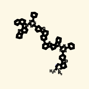 C=C/C=C\c1c(C)ccc2oc3cc(-c4nc(-c5ccccc5)nc(-n5c6ccccc6c6c7sc8c(-c9ccc%10c(ccc%11oc%12cc(-c%13nc(-c%14ccccc%14)nc(-n%14c%15ccc%16ccccc%16c%15c%15c%16sc%17ccccc%17c%16ccc%15%14)n%13)ccc%12c%11%10)c9)cccc8c7ccc65)n4)ccc3c12